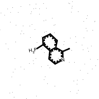 Cc1nccc2c(P)cccc12